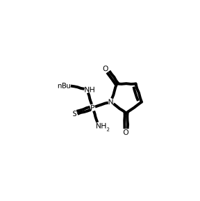 CCCCNP(N)(=S)N1C(=O)C=CC1=O